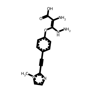 Cn1ccnc1C#Cc1ccc(O/C(NN)=C(/N)C(=O)O)cc1